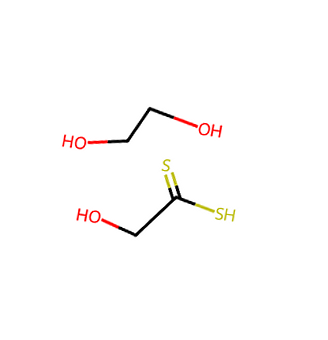 OCC(=S)S.OCCO